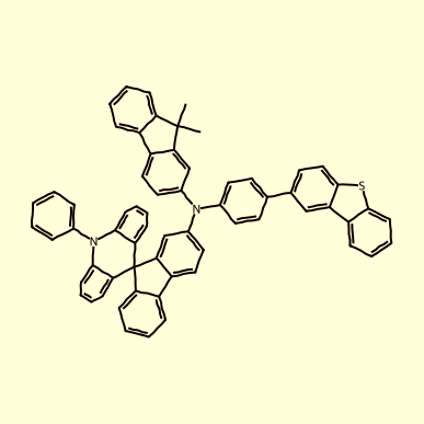 CC1(C)c2ccccc2-c2ccc(N(c3ccc(-c4ccc5sc6ccccc6c5c4)cc3)c3ccc4c(c3)C3(c5ccccc5-4)c4ccccc4N(c4ccccc4)c4ccccc43)cc21